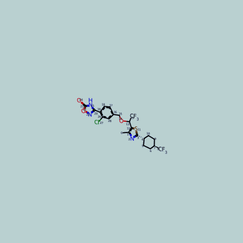 Cc1nc([C@H]2CC[C@H](C(F)(F)F)CC2)sc1C(OCc1ccc(-c2noc(=O)[nH]2)c(Cl)c1)C(F)(F)F